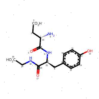 N[C@@H](CC(=O)O)C(=O)N[C@@H](Cc1ccc(O)cc1)C(=O)NCC(=O)O